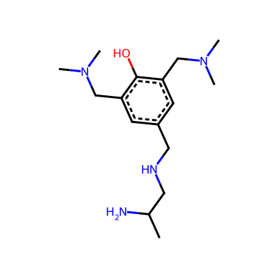 CC(N)CNCc1cc(CN(C)C)c(O)c(CN(C)C)c1